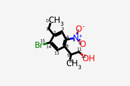 CCc1cc([N+](=O)[O-])c(C(C)CO)cc1Br